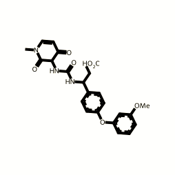 COc1cccc(Oc2ccc(C(CC(=O)O)NC(=O)NC3C(=O)C=CN(C)C3=O)cc2)c1